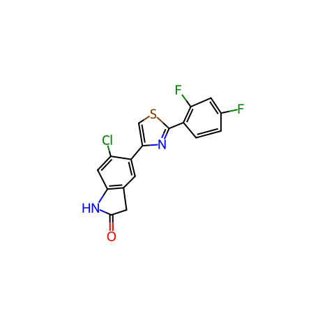 O=C1Cc2cc(-c3csc(-c4ccc(F)cc4F)n3)c(Cl)cc2N1